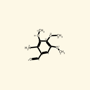 COc1cc([C]=O)c(N)c(OC)c1OC